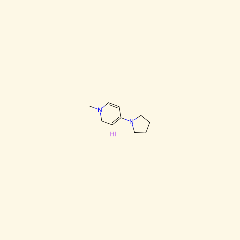 CN1C=CC(N2CCCC2)=CC1.I